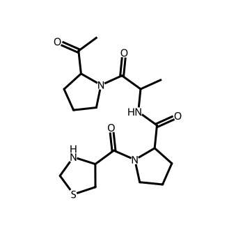 CC(=O)C1CCCN1C(=O)C(C)NC(=O)C1CCCN1C(=O)C1CSCN1